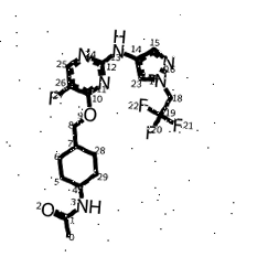 CC(=O)NC1CCC(COc2nc(Nc3cnn(CC(F)(F)F)c3)ncc2F)CC1